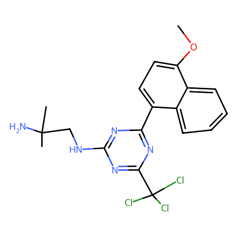 COc1ccc(-c2nc(NCC(C)(C)N)nc(C(Cl)(Cl)Cl)n2)c2ccccc12